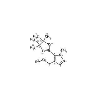 CC(C)OCc1cnn(C)c1B1OC(C)(C)C(C)(C)O1